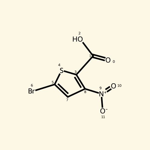 O=C(O)c1sc(Br)cc1[N+](=O)[O-]